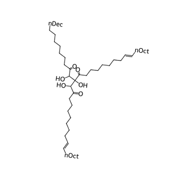 CCCCCCCCC=CCCCCCCCC(=O)C(O)C(O)(C(=O)CCCCCCCC=CCCCCCCCC)C(O)C(=O)CCCCCCCCCCCCCCCCC